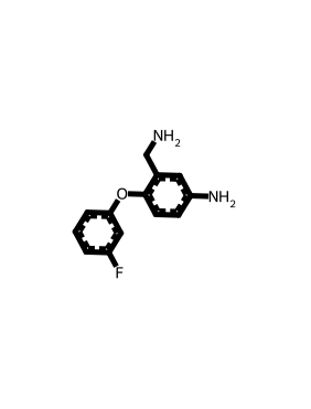 NCc1cc(N)ccc1Oc1cccc(F)c1